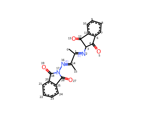 CC(=N\C1C(=O)c2ccccc2C1=O)/C(C)=N/N1C(=O)c2ccccc2C1=O